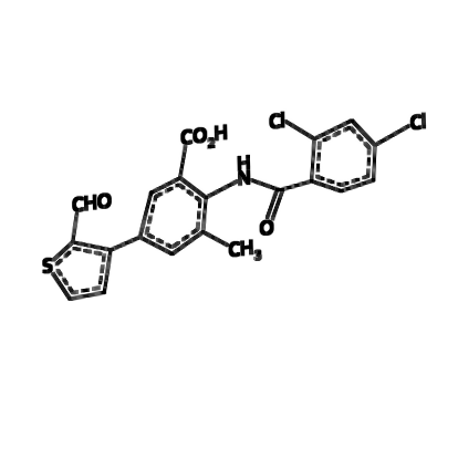 Cc1cc(-c2ccsc2C=O)cc(C(=O)O)c1NC(=O)c1ccc(Cl)cc1Cl